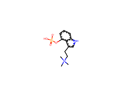 C[N+](C)(C)CCc1c[nH]c2cccc(OP(=O)([O-])O)c12